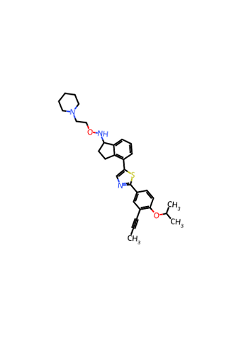 CC#Cc1cc(-c2ncc(-c3cccc4c3CCC4NOCCN3CCCCC3)s2)ccc1OC(C)C